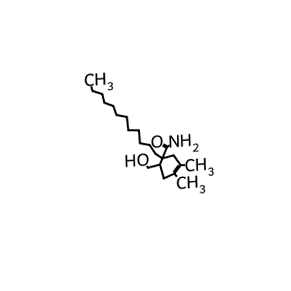 CCCCCCCCCCCCC1(C(N)=O)CC(C)=C(C)CC1CO